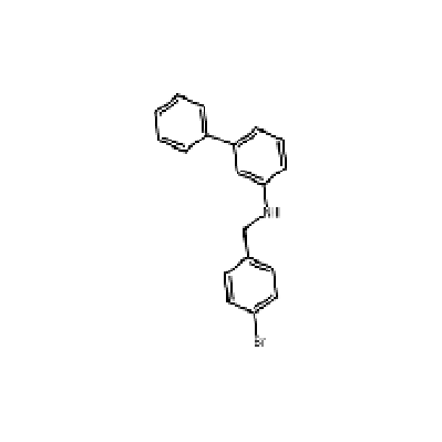 Brc1ccc(CNc2cccc(-c3ccccc3)c2)cc1